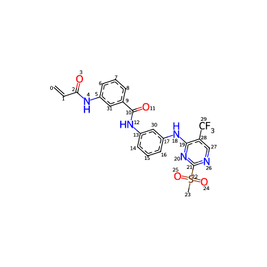 C=CC(=O)Nc1cccc(C(=O)Nc2cccc(Nc3nc(S(C)(=O)=O)ncc3C(F)(F)F)c2)c1